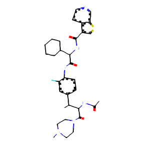 CCC(=O)NC(C(=O)N1CCN(C)CC1)C(C)c1ccc(NC(=O)C(NC(=O)c2csc3cnccc23)C2CCCCC2)c(F)c1